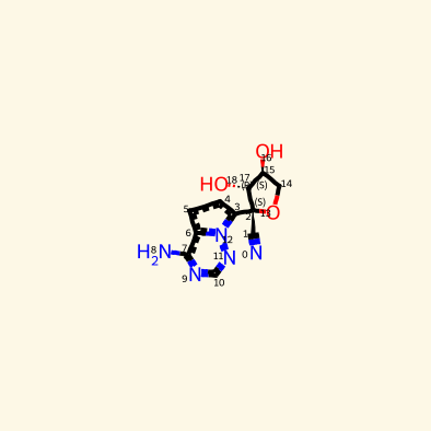 N#C[C@]1(c2ccc3c(N)ncnn23)OC[C@H](O)[C@H]1O